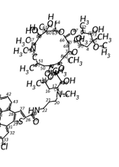 CO[C@]1(C)C[C@H](O[C@H]2[C@H](C)[C@@H](O[C@@H]3O[C@H](C)C[C@H](N(C)CCCNC(=O)c4cc5c(s4)-c4cc(Cl)ccc4Oc4ccccc4-5)[C@H]3O)[C@](C)(O)C[C@@H](C)CN(C)[C@H](C)[C@@H](O)[C@](C)(O)[C@@H](I)OC(=O)[C@@H]2C)O[C@@H](C)[C@@H]1O